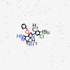 Cc1cc(C(C)(C)C)c(Cl)cc1-c1cc(OCc2ccccc2)c(-c2c[nH]nc2C2CNC2)c(C)n1